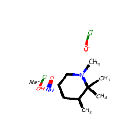 CC1CCCN(C)C1(C)C.N=O.OCl.[Na+].[O-]Cl